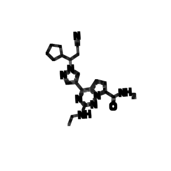 CCNc1nc(-c2cnn(C(CC#N)C3CCCC3)c2)c2ccc(C(N)=O)n2n1